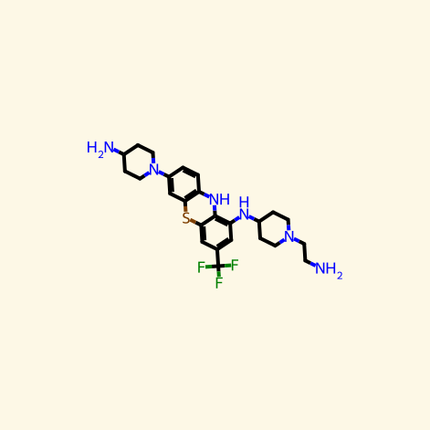 NCCN1CCC(Nc2cc(C(F)(F)F)cc3c2Nc2ccc(N4CCC(N)CC4)cc2S3)CC1